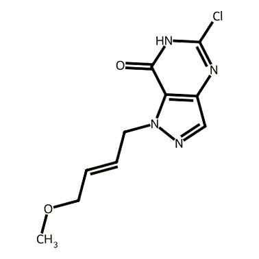 COCC=CCn1ncc2nc(Cl)[nH]c(=O)c21